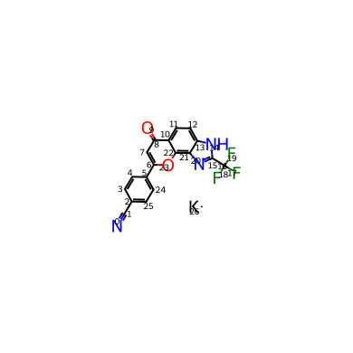 N#Cc1ccc(-c2cc(=O)c3ccc4[nH]c(C(F)(F)F)nc4c3o2)cc1.[K]